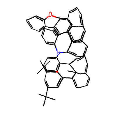 CC(C)(C)c1cc(C2=CC=CC3=CC=CC(c4ccccc4N(c4ccccc4-c4ccc5oc6ccccc6c5c4)c4ccccc4-c4cccc5ccccc45)C32C)cc(C(C)(C)C)c1